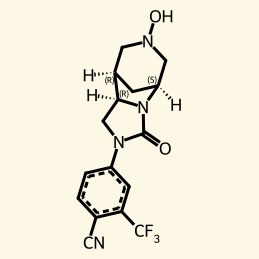 N#Cc1ccc(N2C[C@H]3[C@@H]4C[C@@H](CN(O)C4)N3C2=O)cc1C(F)(F)F